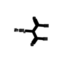 CC(C(=O)O)C(=O)O.O.[Zn]